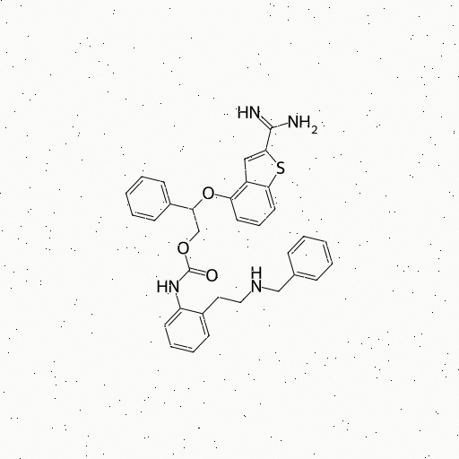 N=C(N)c1cc2c(OC(COC(=O)Nc3ccccc3CCNCc3ccccc3)c3ccccc3)cccc2s1